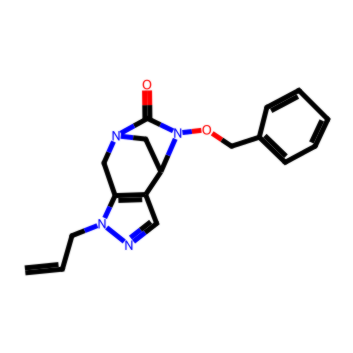 C=CCn1ncc2c1CN1CC2N(OCc2ccccc2)C1=O